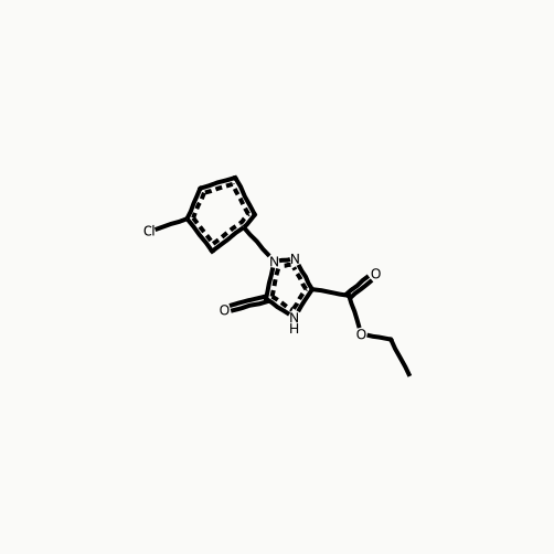 CCOC(=O)c1nn(-c2cccc(Cl)c2)c(=O)[nH]1